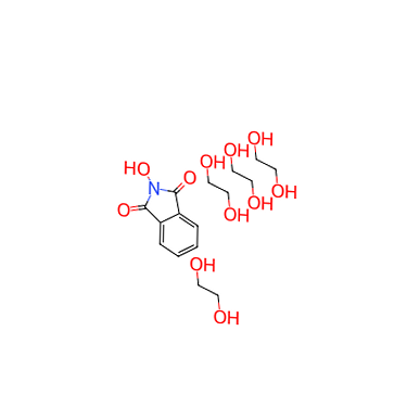 O=C1c2ccccc2C(=O)N1O.OCCO.OCCO.OCCO.OCCO